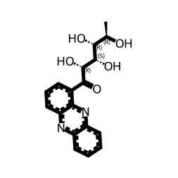 C[C@@H](O)[C@@H](O)[C@H](O)[C@@H](O)C(=O)c1cccc2nc3ccccc3nc12